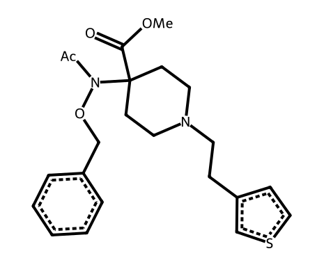 COC(=O)C1(N(OCc2ccccc2)C(C)=O)CCN(CCc2ccsc2)CC1